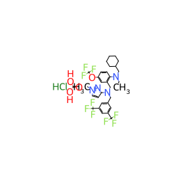 CCN(CC1CCCCC1)c1ccc(OC(F)(F)F)cc1CN(Cc1cc(C(F)(F)F)cc(C(F)(F)F)c1)c1ccn(C)n1.Cl.O=C(O)O